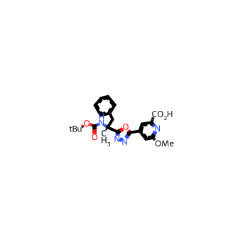 COc1cc(-c2nnc([C@@](C)(Cc3ccccc3)NC(=O)OC(C)(C)C)o2)cc(C(=O)O)n1